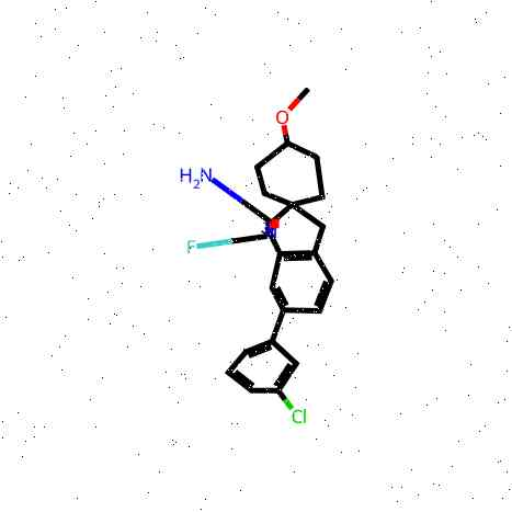 COC1CCC2(CC1)Cc1ccc(-c3cccc(Cl)c3)cc1C21C=C(F)C(N)=N1